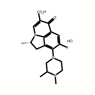 CC1CN(c2c(F)cc3c(=O)c(C(=O)O)cn4c3c2C[C@@H]4C)CCN1C.Cl